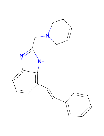 C1=CCN(Cc2nc3cccc(C=Cc4ccccc4)c3[nH]2)CC1